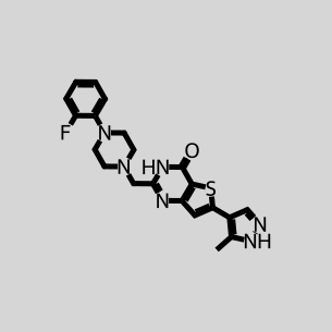 Cc1[nH]ncc1-c1cc2nc(CN3CCN(c4ccccc4F)CC3)[nH]c(=O)c2s1